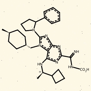 C[C@@H](Nc1nc(C(=N)NC(=O)O)nc2nc(N3CCCC3c3ccccc3)n(C[C@H]3CC[C@H](C)CC3)c12)C1CCC1